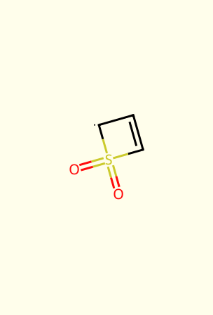 O=S1(=O)[CH]C=C1